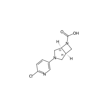 O=C(O)N1C[C@H]2CN(c3ccc(Cl)nc3)C[C@H]21